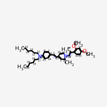 C=C1C=C(/C=C/c2ccc(N(CCCCCC)CCCCCC)cc2)C=CN1/C=C(\C)c1ccc(OC)cc1OC